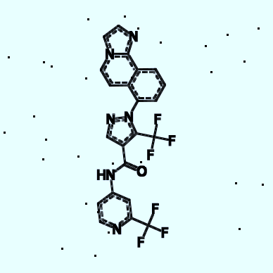 O=C(Nc1ccnc(C(F)(F)F)c1)c1cnn(-c2cccc3c2ccn2ccnc32)c1C(F)(F)F